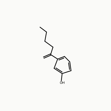 C=C(CCCC)c1cccc(O)c1